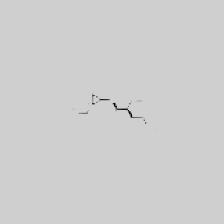 CC/C=C(/C=NC1C[C@@H]1CC)CC